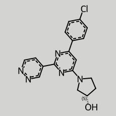 O[C@H]1CCN(c2cc(-c3ccc(Cl)cc3)nc(-c3ccnnc3)n2)C1